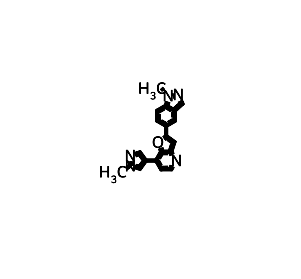 Cn1cc(-c2ccnc3cc(-c4ccc5c(cnn5C)c4)oc23)cn1